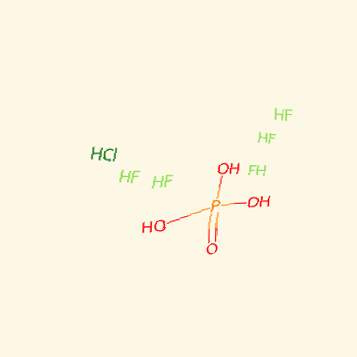 Cl.F.F.F.F.F.O=P(O)(O)O